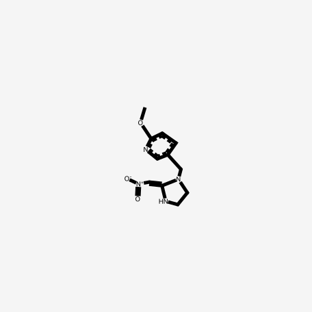 COc1ccc(CN2CCN/C2=C\[N+](=O)[O-])cn1